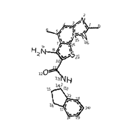 Cc1nc2cc(C)c3c(N)c(C(=O)N[C@H]4CCc5ccccc54)sc3n2n1